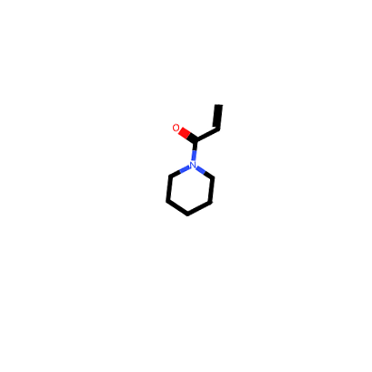 C=CC(=O)N1C[CH]CCC1